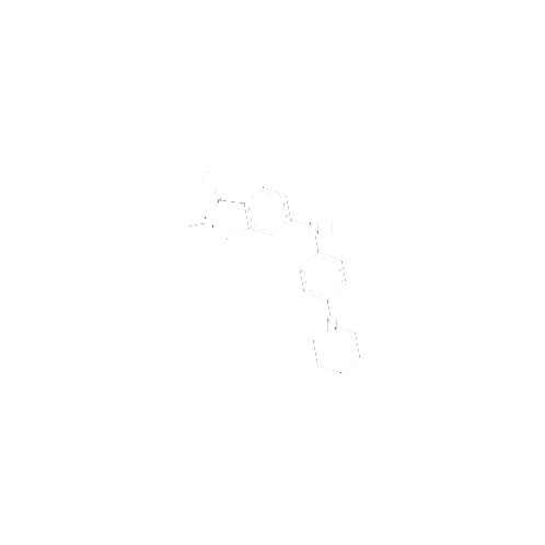 CN1Cc2cc(Nc3ccc(N4CCCCC4)cc3)ccc2C1=O